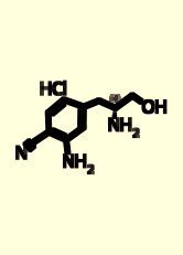 Cl.N#Cc1ccc(C[C@@H](N)CO)cc1N